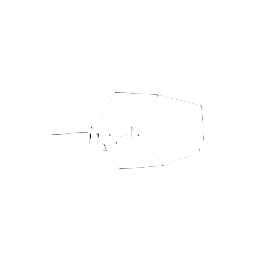 CN1CC2COC(C1)N2N